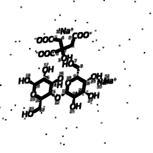 O=C([O-])CC(O)(CC(=O)[O-])C(=O)[O-].OC[C@H]1O[C@@H](O[C@H]2[C@H](O)[C@@H](O)[C@H](O)O[C@@H]2CO)[C@H](O)[C@@H](O)[C@H]1O.[Na+].[Na+].[Na+]